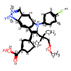 COCC(C)(C)c1c(C2CCC(C(=O)O)C2)c2cc3[nH]ncc3cc2n1-c1ccc(F)cc1